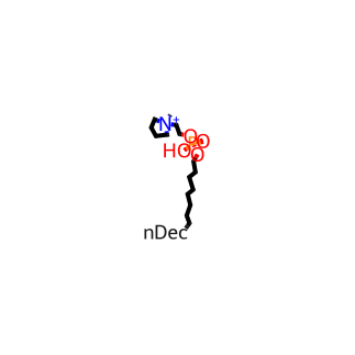 CCCCCCCCCCCCCCCCCCOP(=O)(O)OCC[N+]1(C)CCCC1